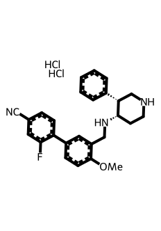 COc1ccc(-c2ccc(C#N)cc2F)cc1CN[C@H]1CCNC[C@H]1c1ccccc1.Cl.Cl